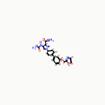 NC(=O)Nc1cn(-c2ccc(-c3cccc(OCc4ncco4)c3)cc2)nc1C(N)=O